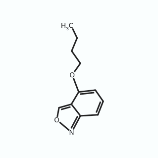 CCCCOc1cccc2nocc12